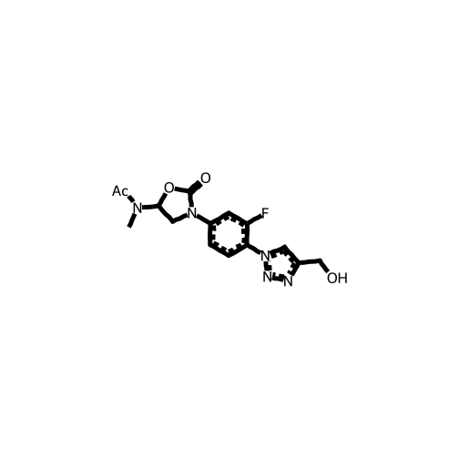 CC(=O)N(C)C1CN(c2ccc(-n3cc(CO)nn3)c(F)c2)C(=O)O1